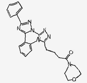 O=C(CCCc1nnc2n3nc(-c4ccccc4)nc3c3ccccc3n12)N1CCOCC1